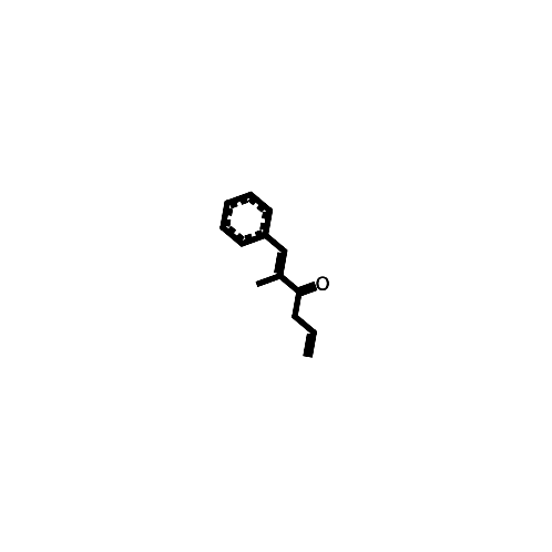 C=CCC(=O)/C(C)=C/c1ccccc1